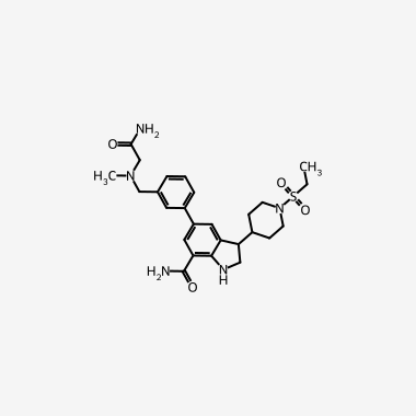 CCS(=O)(=O)N1CCC(C2CNc3c(C(N)=O)cc(-c4cccc(CN(C)CC(N)=O)c4)cc32)CC1